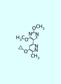 COc1ncc(-c2cc(OC3CC3)c(C)nn2)c(OC)n1